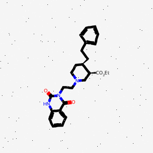 CCOC(=O)[C@H]1CN(CCn2c(=O)[nH]c3ccccc3c2=O)CC[C@H]1CCc1ccccc1